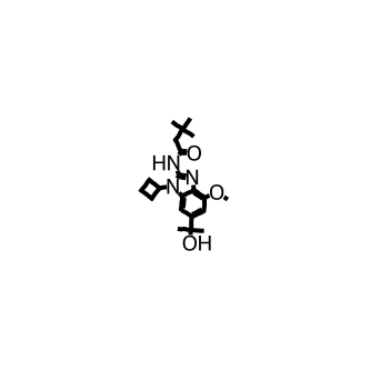 COc1cc(C(C)(C)O)cc2c1nc(NC(=O)CC(C)(C)C)n2C1CCC1